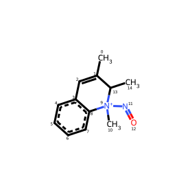 CC1=Cc2ccccc2[N+](C)(N=O)C1C